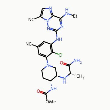 CCNc1nc(Nc2cc(C#N)cc(N3CC[C@@H](NC(=O)OC)[C@H](N[C@@H](C)C(N)=O)C3)c2Cl)nn2c(C#N)cnc12